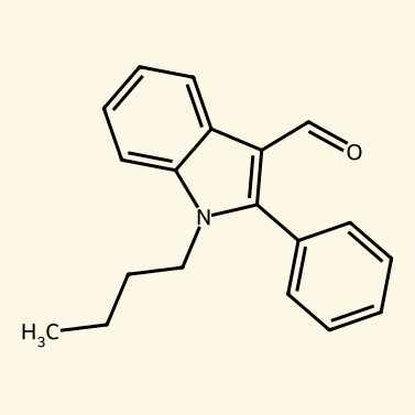 CCCCn1c(-c2ccccc2)c(C=O)c2ccccc21